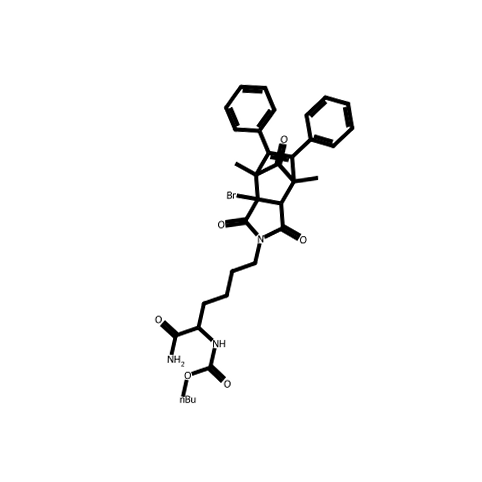 CCCCOC(=O)NC(CCCCN1C(=O)C2C3(C)C(=O)C(C)(C(c4ccccc4)=C3c3ccccc3)C2(Br)C1=O)C(N)=O